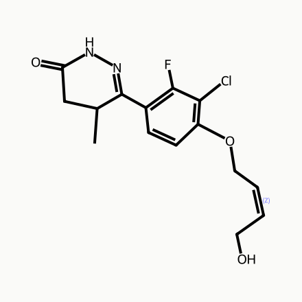 CC1CC(=O)NN=C1c1ccc(OC/C=C\CO)c(Cl)c1F